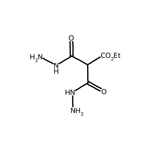 CCOC(=O)C(C(=O)NN)C(=O)NN